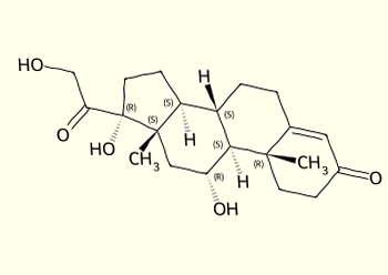 C[C@]12CCC(=O)C=C1CC[C@@H]1[C@@H]2[C@H](O)C[C@@]2(C)[C@H]1CC[C@]2(O)C(=O)CO